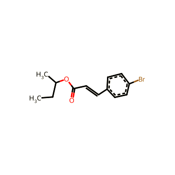 CCC(C)OC(=O)C=Cc1ccc(Br)cc1